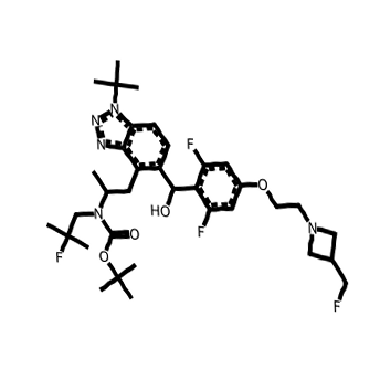 CC(Cc1c(C(O)c2c(F)cc(OCCN3CC(CF)C3)cc2F)ccc2c1nnn2C(C)(C)C)N(CC(C)(C)F)C(=O)OC(C)(C)C